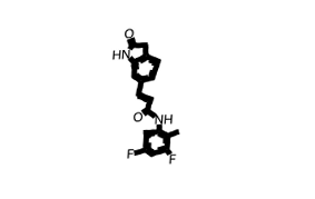 Cc1c(F)cc(F)cc1NC(=O)/C=C/c1ccc2c(c1)NC(=O)C2